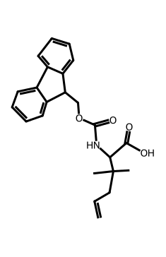 C=CCC(C)(C)C(NC(=O)OCC1c2ccccc2-c2ccccc21)C(=O)O